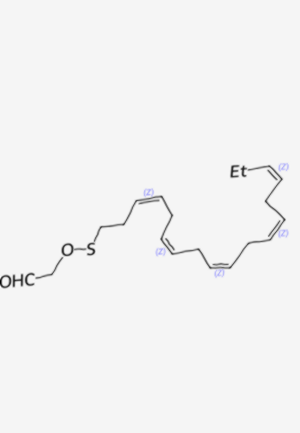 CC/C=C\C/C=C\C/C=C\C/C=C\C/C=C\CCSOCC=O